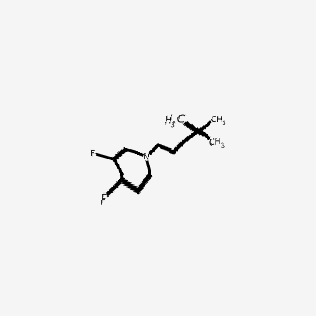 CC(C)(C)CCN1CCC(F)C(F)C1